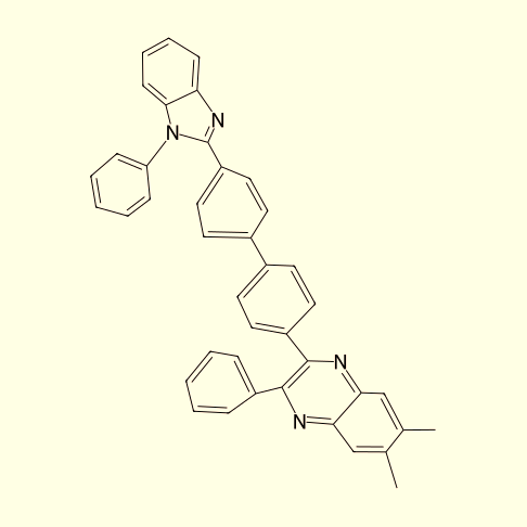 Cc1cc2nc(-c3ccccc3)c(-c3ccc(-c4ccc(-c5nc6ccccc6n5-c5ccccc5)cc4)cc3)nc2cc1C